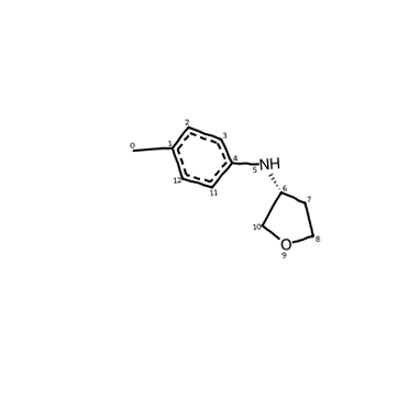 Cc1ccc(N[C@@H]2CCOC2)cc1